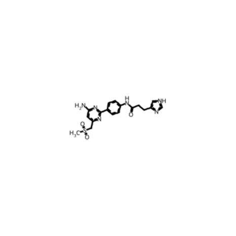 CS(=O)(=O)Cc1cc(N)nc(-c2ccc(NC(=O)CCc3c[nH]cn3)cc2)n1